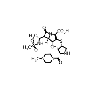 C[C@@H](NS(C)(=O)=O)[C@H]1C(=O)N2C(C(=O)O)=C(S[C@@H]3CN[C@H](C(=O)N4CCN(C)CC4)C3)[C@H](C)[C@H]12